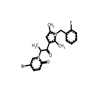 Cc1cc(C(=O)C(C)n2cc(Br)ccc2=O)c(C)n1Cc1ccccc1F